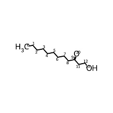 CCCCCCCCCC(=O)CCO